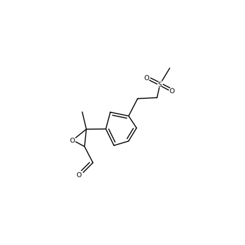 CC1(c2cccc(CCS(C)(=O)=O)c2)OC1C=O